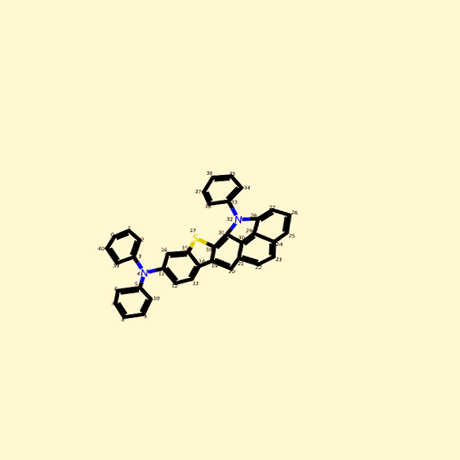 c1ccc(N(c2ccccc2)c2ccc3c(c2)sc2c3cc3ccc4cccc5c4c3c2n5-c2ccccc2)cc1